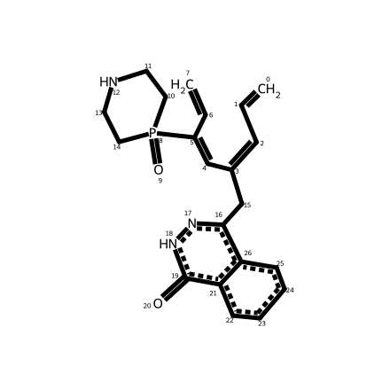 C=C/C=C(\C=C(/C=C)P1(=O)CCNCC1)Cc1n[nH]c(=O)c2ccccc12